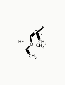 C.C=CF.C=COC=C.F